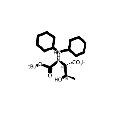 C1CCC(NC2CCCCC2)CC1.C[C@@H](O)[C@H](NC(=O)OC(C)(C)C)C(=O)O